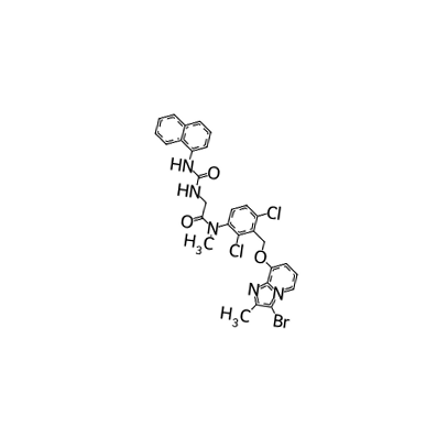 Cc1nc2c(OCc3c(Cl)ccc(N(C)C(=O)CNC(=O)Nc4cccc5ccccc45)c3Cl)cccn2c1Br